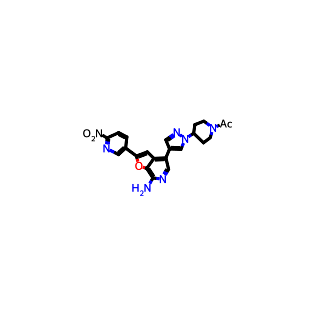 CC(=O)N1CCC(n2cc(-c3cnc(N)c4oc(-c5ccc([N+](=O)[O-])nc5)cc34)cn2)CC1